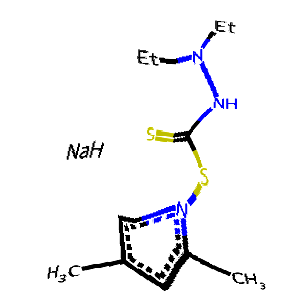 CCN(CC)NC(=S)Sn1cc(C)cc1C.[NaH]